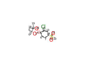 CC1(C)OB(c2ccc(S(C)(=O)=O)cc2Cl)OC1(C)C